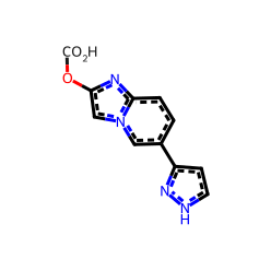 O=C(O)Oc1cn2cc(-c3cc[nH]n3)ccc2n1